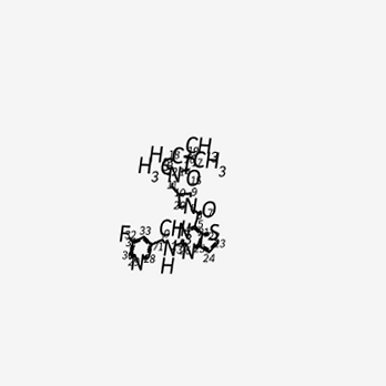 C[C@H](Nc1nc(C(=O)N2CC(CN(C)C(=O)C(C)(C)C)C2)c2sccc2n1)c1cncc(F)c1